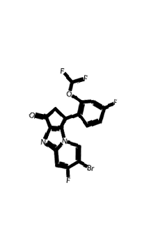 O=C1CC(c2ccc(F)cc2OC(F)F)c2c1nc1cc(F)c(Br)cn21